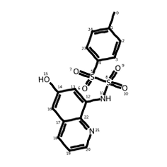 Cc1ccc(S(=O)(=O)S(=O)(=O)Nc2cc(O)cc3cccnc23)cc1